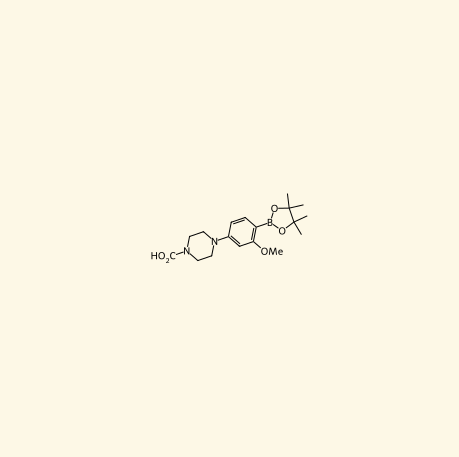 COc1cc(N2CCN(C(=O)O)CC2)ccc1B1OC(C)(C)C(C)(C)O1